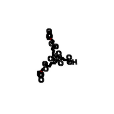 O=C(O)CCn1c(=O)n(CCCC(=O)OCC2CC3CC2C2OC32)c(=O)n(CCCC(=O)OCC2CC3CC2C2OC32)c1=O